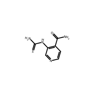 NC(=O)c1ccncc1NC(N)=S